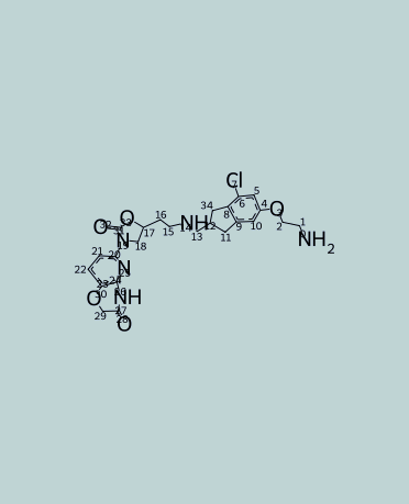 NCCOc1cc(Cl)c2c(c1)CC(CNCCC1CN(c3ccc4c(n3)NC(=O)CO4)C(=O)O1)C2